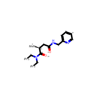 CN[C@@H](CC(=O)NCc1ccccn1)C(=O)N(CC(C)C)CC(C)C